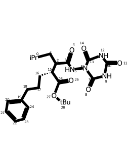 CC(C)CC(C(=O)Nn1c(=O)[nH]c(=O)[nH]c1=O)[C@@H](CCCc1ccccc1)C(=O)OC(C)(C)C